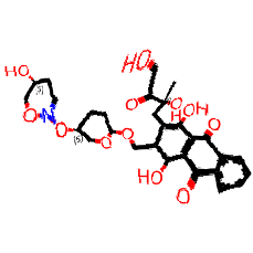 C[C@@](O)(CC1=C(O)C2=C(C(=O)c3ccccc3C2=O)C(O)C1COC1CC[C@H](ON2CC[C@H](O)CO2)CO1)C(=O)CO